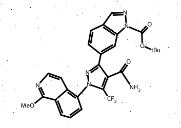 COc1nccc2c(-n3nc(-c4ccc5cnn(C(=O)OC(C)(C)C)c5c4)c(C(N)=O)c3C(F)(F)F)cccc12